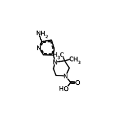 CC1(C)CN(C(=O)O)CCN1c1ccc(N)nc1